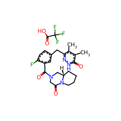 Cc1c(Cc2ccc(F)c(C(=O)N3CC(=O)N4CCCC[C@H]4C3)c2)n[nH]c(=O)c1C.O=C(O)C(F)(F)F